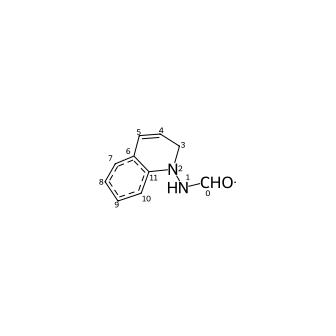 O=[C]NN1CC=Cc2ccccc21